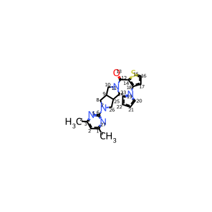 Cc1cc(C)nc(N2CC3CN(C(=O)c4sccc4-n4cccc4)CC3C2)n1